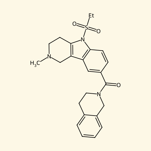 CCS(=O)(=O)n1c2c(c3cc(C(=O)N4CCc5ccccc5C4)ccc31)CN(C)CC2